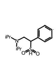 CC(C)N(CC(c1cc[c]cc1)[SH](=O)=O)C(C)C